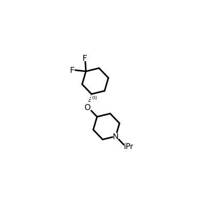 CC(C)N1CCC(O[C@H]2CCCC(F)(F)C2)CC1